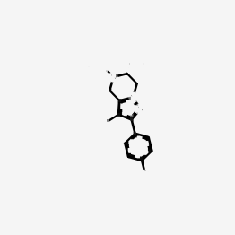 C[C@@H]1Cn2nc(-c3ccc(Cl)cc3)c(I)c2CN1C(=O)O